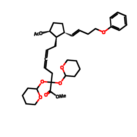 COC(=O)C(CC=C=CC[C@H]1[C@@H](OC(C)=O)CC[C@@H]1/C=C/CCOc1ccccc1)(OC1CCCCO1)OC1CCCCO1